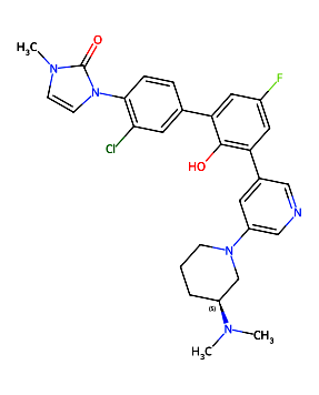 CN(C)[C@H]1CCCN(c2cncc(-c3cc(F)cc(-c4ccc(-n5ccn(C)c5=O)c(Cl)c4)c3O)c2)C1